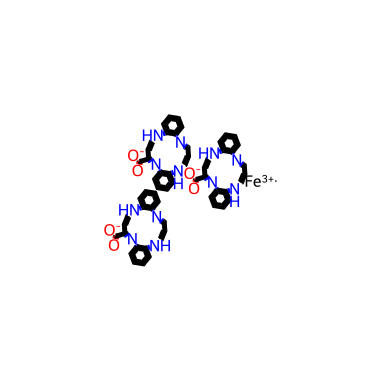 O=C([O-])C1=N\c2ccccc2N/C=C\C=N\c2ccccc2N/C=C\1.O=C([O-])C1=N\c2ccccc2N/C=C\C=N\c2ccccc2N/C=C\1.O=C([O-])C1=N\c2ccccc2N/C=C\C=N\c2ccccc2N/C=C\1.[Fe+3]